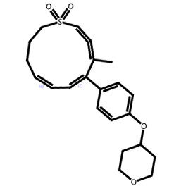 CC1=C=CS(=O)(=O)CCC/C=C\C=C/1c1ccc(OC2CCOCC2)cc1